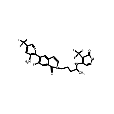 CC(CCCn1ccc2cc(-c3ncc(C(F)(F)F)cc3N)c(F)cc2c1=O)Nc1cn[nH]c(=O)c1C(F)(F)F